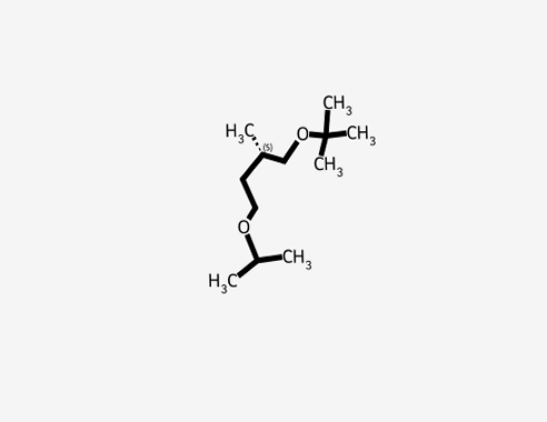 CC(C)OCC[C@H](C)COC(C)(C)C